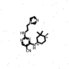 C[C@H]1CC[C@@H](Nc2nc(NCCn3ccnc3)ncc2C#N)CC1(C)C